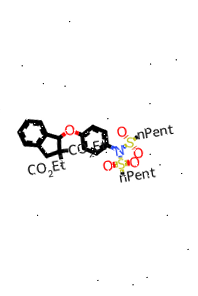 CCCCCS(=O)(=O)N(c1ccc(OC2c3ccccc3CC2(C(=O)OCC)C(=O)OCC)cc1)S(=O)(=O)CCCCC